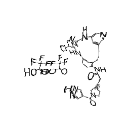 O=C(C[C@H]1CCN(C(=O)c2cn[nH]c2)C1)Nc1ccc2cc1CCc1cncc(c1)Nc1ncc(Cl)c(n1)N2.O=C(O)C(F)(F)F.O=C(O)C(F)(F)F